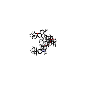 [2H]C([2H])([2H])N1CC/C(=C\F)[C@](C)(C([2H])([2H])Oc2nc(N3C[C@H]4CC[C@@H](C3)N4C(=O)OC(C)(C)C)c3cnc(-c4cc(O[Si](C(C)C)(C(C)C)C(C)C)cc5ccc(F)c(C#C[Si](C(C)C)(C(C)C)C(C)C)c45)c(F)c3n2)C1